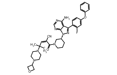 CC(C)(/C=C(/C#N)C(=O)N1CCC[C@H](n2nc(-c3ccc(Oc4ccccc4)cc3F)c3c(N)ncnc32)C1)N1CCN(C2COC2)CC1